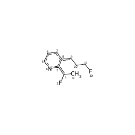 C/C(F)=c1/nccc/c1=C/CCF